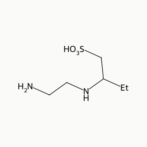 CCC(CS(=O)(=O)O)NCCN